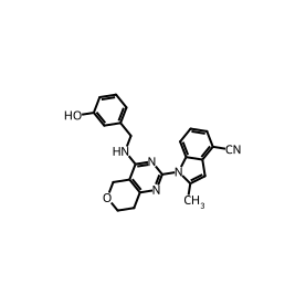 Cc1cc2c(C#N)cccc2n1-c1nc2c(c(NCc3cccc(O)c3)n1)COCC2